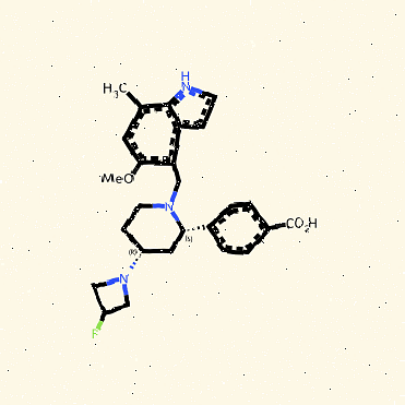 COc1cc(C)c2[nH]ccc2c1CN1CC[C@@H](N2CC(F)C2)C[C@H]1c1ccc(C(=O)O)cc1